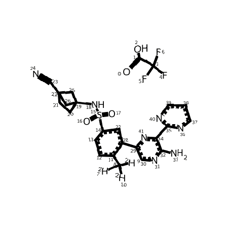 O=C(O)C(F)(F)F.[2H]C([2H])([2H])c1ccc(S(=O)(=O)NC23CCC(C#N)(C2)C3)cc1-c1cnc(N)c(-c2ncccn2)n1